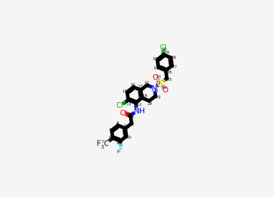 O=C(Cc1ccc(C(F)(F)F)c(F)c1)Nc1c(Cl)ccc2c1CCN(S(=O)(=O)Cc1ccc(Cl)cc1)C2